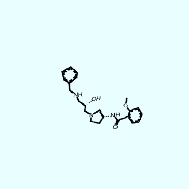 COc1ccccc1C(=O)N[C@@H]1CCN(C[C@@H](O)CNCc2ccccc2)C1